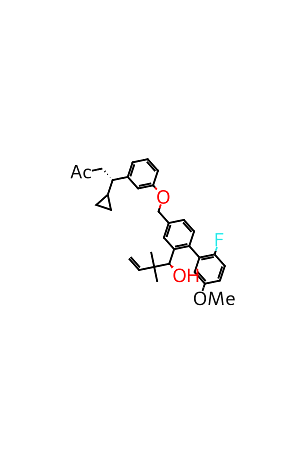 C=CC(C)(C)[C@H](O)c1cc(COc2cccc([C@@H](CC(C)=O)C3CC3)c2)ccc1-c1cc(OC)ccc1F